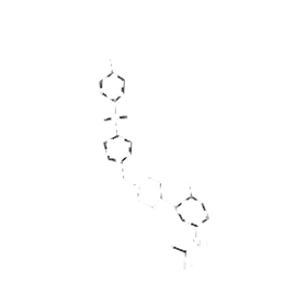 Cc1ccc(NC(=O)C(C)C)cc1C1CCN(Cc2ccc(S(=O)(=O)c3ccc(Cl)cc3)cc2)CC1